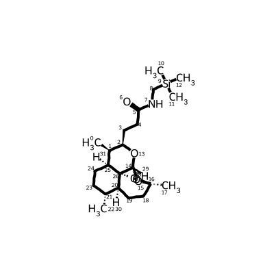 C[C@H]1[C@@H](CCC(=O)NC[Si](C)(C)C)O[C@@H]2O[C@]3(C)CC[C@H]4[C@H](C)CC[C@@H]1[C@@]24OO3